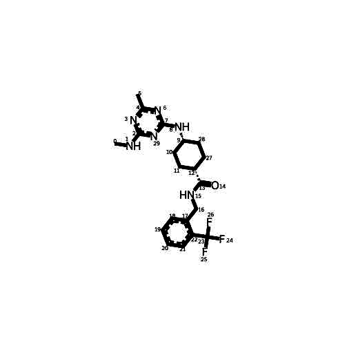 CNc1nc(C)nc(N[C@H]2CC[C@@H](C(=O)NCc3ccccc3C(F)(F)F)CC2)n1